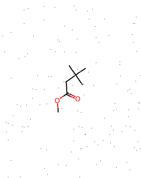 COC(=O)[CH]C(C)(C)C